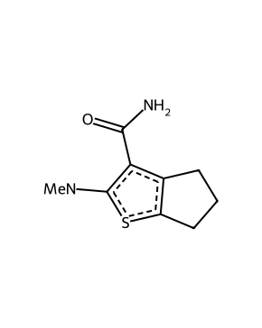 CNc1sc2c(c1C(N)=O)CCC2